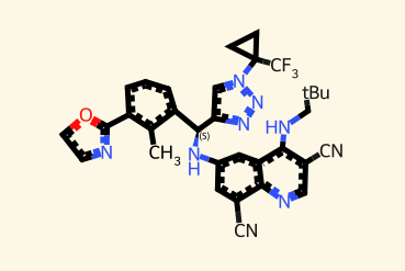 Cc1c(-c2ncco2)cccc1[C@H](Nc1cc(C#N)c2ncc(C#N)c(NCC(C)(C)C)c2c1)c1cn(C2(C(F)(F)F)CC2)nn1